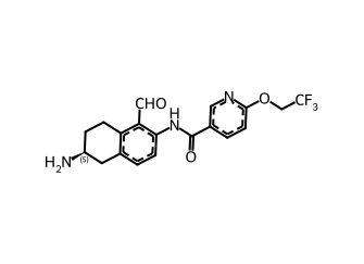 N[C@H]1CCc2c(ccc(NC(=O)c3ccc(OCC(F)(F)F)nc3)c2C=O)C1